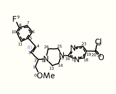 COCC(/C=C/c1ccc(F)cc1)N1CCN(c2ncc(C(=O)Cl)cn2)CC1